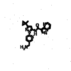 CC1(c2cc(NC(=O)c3cnn4cccnc34)n(-c3ccc(CN)cn3)n2)CC1